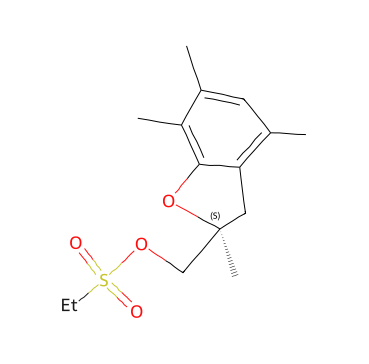 CCS(=O)(=O)OC[C@]1(C)Cc2c(C)cc(C)c(C)c2O1